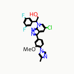 COc1cc(-c2nnc3n(C(CO)c4cc(F)cc(F)c4)cc(Cl)cc2-3)ccc1-n1cnc(C)c1